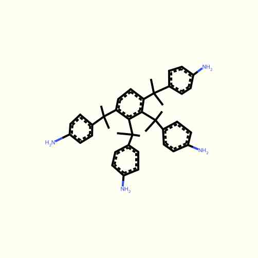 CC(C)(c1ccc(N)cc1)c1ccc(C(C)(C)c2ccc(N)cc2)c(C(C)(C)c2ccc(N)cc2)c1C(C)(C)c1ccc(N)cc1